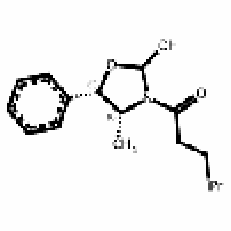 CC(C)CCC(=O)N1C(O)O[C@@H](c2ccccc2)[C@H]1C